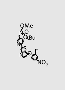 COCCN(Cc1ccc(-c2cc3nccc(Oc4ccc([N+](=O)[O-])cc4F)c3s2)nc1)C(=O)OC(C)(C)C